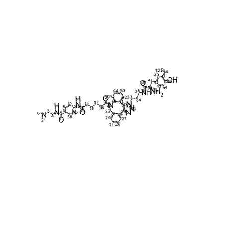 CN(C)CCNC(=O)c1ccc(NC(=O)CCCCC(=O)N2Cc3ccccc3-c3nnn(CCCNC(=O)[C@@H](N)Cc4ccc(O)c([125I])c4)c3-c3ccccc32)nc1